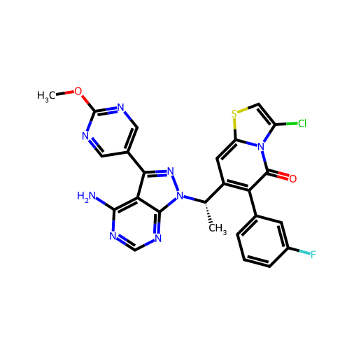 COc1ncc(-c2nn([C@@H](C)c3cc4scc(Cl)n4c(=O)c3-c3cccc(F)c3)c3ncnc(N)c23)cn1